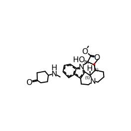 CC[C@]12CCCN3CCc4c(n(c5ccccc45)[C@@](O)(C(=O)OC)C1)[C@@H]32.CNC1CCC(=O)CC1